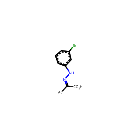 CC(=O)C(=NNc1cccc(Br)c1)C(=O)O